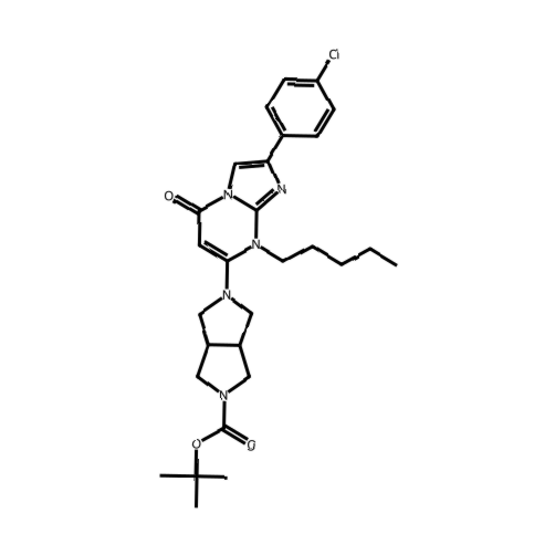 CCCCCn1c(N2CC3CN(C(=O)OC(C)(C)C)CC3C2)cc(=O)n2cc(-c3ccc(Cl)cc3)nc12